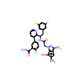 CC12C3c4c(C(F)(F)F)nn(CC(=O)NC(Cc5cc(F)cc(F)c5)c5ncccc5-c5ccc(F)c(C(N)=O)c5)c4C1(O)C32